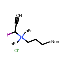 C#CC(I)[N+](CCC)(CCC)CCCCCCCCCCCC.[Cl-]